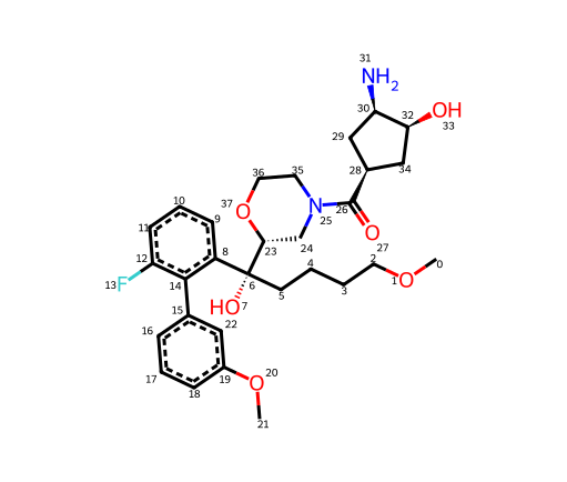 COCCCC[C@@](O)(c1cccc(F)c1-c1cccc(OC)c1)[C@H]1CN(C(=O)[C@H]2C[C@@H](N)[C@@H](O)C2)CCO1